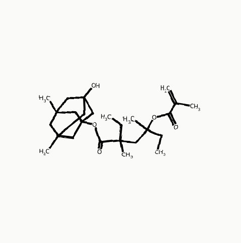 C=C(C)C(=O)OC(C)(CC)CC(C)(CC)C(=O)OC12CC3(C)CC(C)(CC(O)(C3)C1)C2